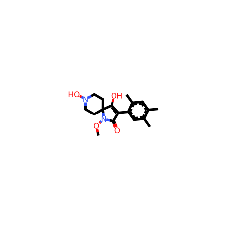 CON1C(=O)C(c2cc(C)c(C)cc2C)=C(O)C12CCN(O)CC2